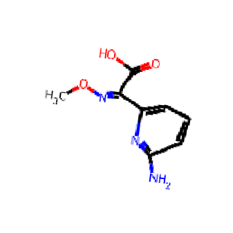 CON=C(C(=O)O)c1cccc(N)n1